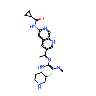 C=N/C=C(\N=C(/C)c1cnc2cnc(NC(=O)C3CC3)cc2c1)N[C@H]1CCNC[C@@H]1F